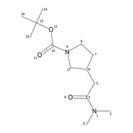 CN(C)C(=O)CC1CCN(C(=O)OC(C)(C)C)C1